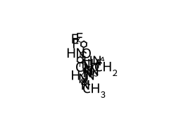 C=C(/C=C(\N=C/N)n1nc(CN2CCN(C)CC2)cc1Nc1cc(NC(=O)c2cccc(C(F)(F)F)c2)ccc1C)NC1CC1